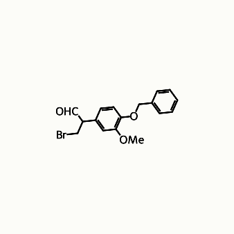 COc1cc(C(C=O)CBr)ccc1OCc1ccccc1